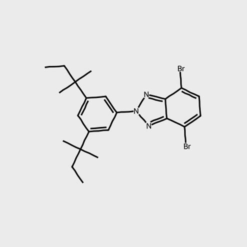 CCC(C)(C)c1cc(-n2nc3c(Br)ccc(Br)c3n2)cc(C(C)(C)CC)c1